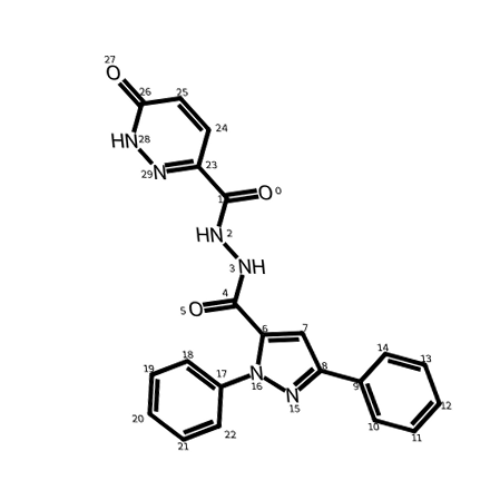 O=C(NNC(=O)c1cc(-c2ccccc2)nn1-c1ccccc1)c1ccc(=O)[nH]n1